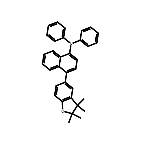 CC1(C)Oc2ccc(-c3ccc(N(c4ccccc4)c4ccccc4)c4ccccc34)cc2C1(C)C